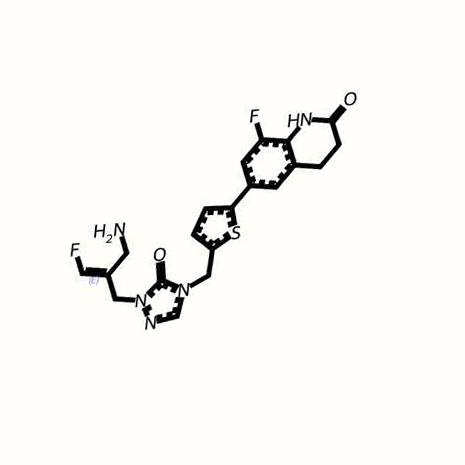 NC/C(=C\F)Cn1ncn(Cc2ccc(-c3cc(F)c4c(c3)CCC(=O)N4)s2)c1=O